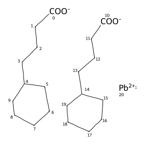 O=C([O-])CCCC1CCCCC1.O=C([O-])CCCC1CCCCC1.[Pb+2]